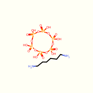 NCCCCCCN.O=P1(O)OP(=O)(O)OP(=O)(O)OP(=O)(O)OP(=O)(O)OP(=O)(O)O1